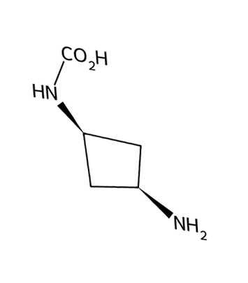 N[C@H]1C[C@@H](NC(=O)O)C1